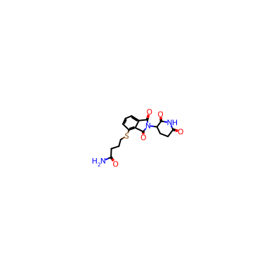 NC(=O)CCCSc1cccc2c1C(=O)N(C1CCC(=O)NC1=O)C2=O